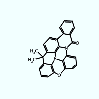 CC1(C)c2cccc3c2B2c4c(cccc4-n4c(=O)c5ccccc5c5ccc1c2c54)O3